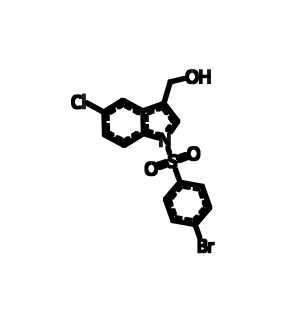 O=S(=O)(c1ccc(Br)cc1)n1cc(CO)c2cc(Cl)ccc21